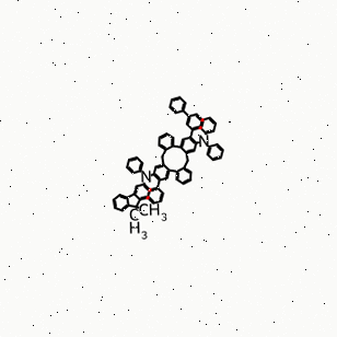 CC1(C)c2ccccc2-c2cc(N(c3ccccc3)c3cc4c(cc3-c3ccccc3)-c3ccccc3Cc3cc(N(c5ccccc5)c5ccccc5)c(-c5cccc(-c6ccccc6)c5)cc3-c3ccccc3C4)ccc21